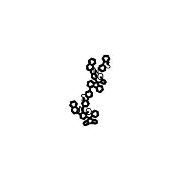 c1ccc2c(c1)Oc1c(ccc3c4ccc5ccccc5c4n(-c4ccc5c(c4)sc4cc(-c6cccc7c6-c6ccccc6C76c7ccccc7Oc7c6ccc6c8ccc9ccccc9c8n(-c8ccc9sc%10ccccc%10c9c8)c76)ccc45)c13)C21c2ccccc2-c2ccccc21